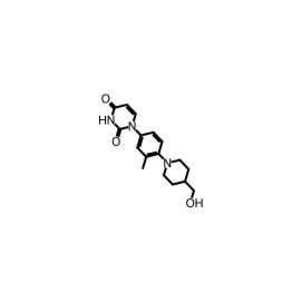 Cc1cc(-n2ccc(=O)[nH]c2=O)ccc1N1CCC(CO)CC1